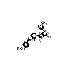 C[C@@H]1[C@H](NC(=O)c2ccc(OC(F)(F)F)cc2)CCCN1c1cnc(C(N)=O)c(Nc2cnn(C)c2)n1